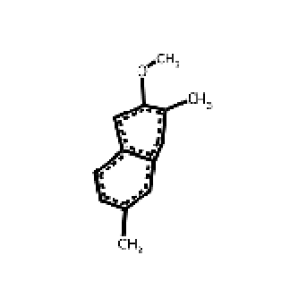 COc1cc2ccc(C)cc2cc1C